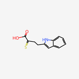 O=C(O)C(=S)CCc1cc2ccccc2[nH]1